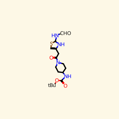 CC(C)(C)OC(=O)NC1CCN(C(=O)CC2=CSC(NC=O)N2)CC1